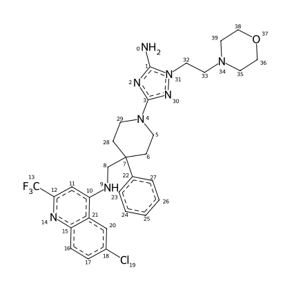 Nc1nc(N2CCC(CNc3cc(C(F)(F)F)nc4ccc(Cl)cc34)(c3ccccc3)CC2)nn1CCN1CCOCC1